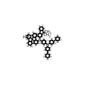 CC1(C)c2ccccc2-c2ccc(N(c3ccc(N(c4ccc(-c5ccccc5)cc4)c4ccc(-c5ccccc5)cc4)cc3)c3cccc4c3-c3ccccc3C43c4ccccc4C4=CC=CCC43C)cc21